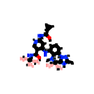 BC(B)(B)NC(=O)c1cnc(NC(=O)C2CC2)cc1Nc1cccc2c1N(C)C(B)(B)c1nc(C)nn1-2